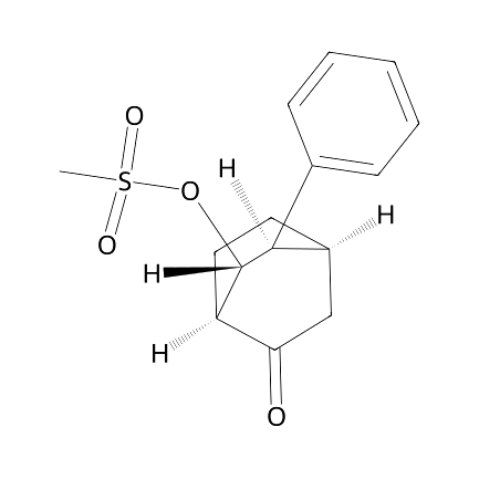 CS(=O)(=O)O[C@@H]1[C@@H](c2ccccc2)[C@H]2CC[C@@H]1C(=O)C2